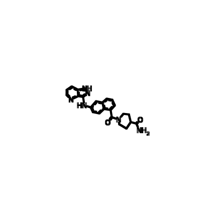 NC(=O)C1CCN(C(=O)c2cccc3cc(Nc4n[nH]c5cccnc45)ccc23)CC1